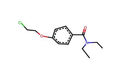 CCN(CC)C(=O)c1ccc(OCCCl)cc1